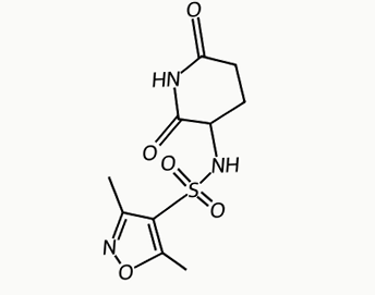 Cc1noc(C)c1S(=O)(=O)NC1CCC(=O)NC1=O